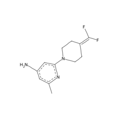 Cc1cc(N)cc(N2CCC(=C(F)F)CC2)n1